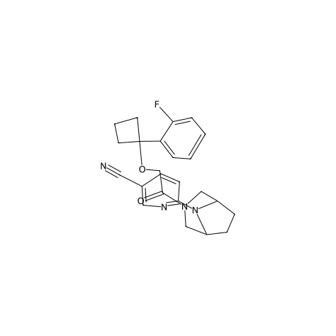 N#Cc1ccc(N2C3CCC2CN(C(=O)COC2(c4ccccc4F)CCC2)C3)nc1